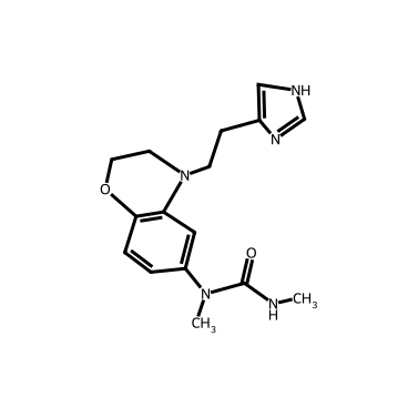 CNC(=O)N(C)c1ccc2c(c1)N(CCc1c[nH]cn1)CCO2